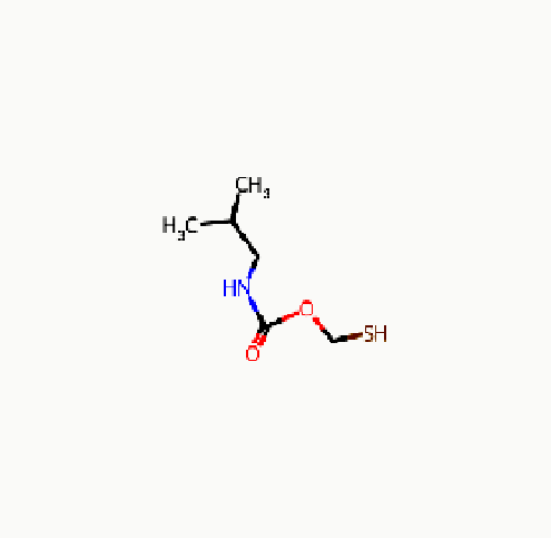 CC(C)CNC(=O)OCS